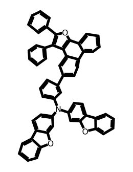 c1ccc(-c2oc3c4ccccc4c4ccc(-c5cccc(N(c6ccc7c(c6)oc6ccccc67)c6ccc7c(c6)oc6ccccc67)c5)cc4c3c2-c2ccccc2)cc1